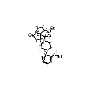 CCNc1cccnc1N1CCN(C(=O)C23C(=O)CC(=O)N2CCC3OCC)CC1